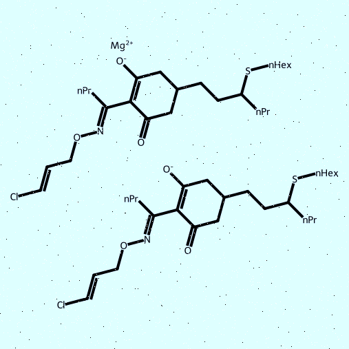 CCCCCCSC(CCC)CCC1CC(=O)C(C(CCC)=NOC/C=C/Cl)=C([O-])C1.CCCCCCSC(CCC)CCC1CC(=O)C(C(CCC)=NOC/C=C/Cl)=C([O-])C1.[Mg+2]